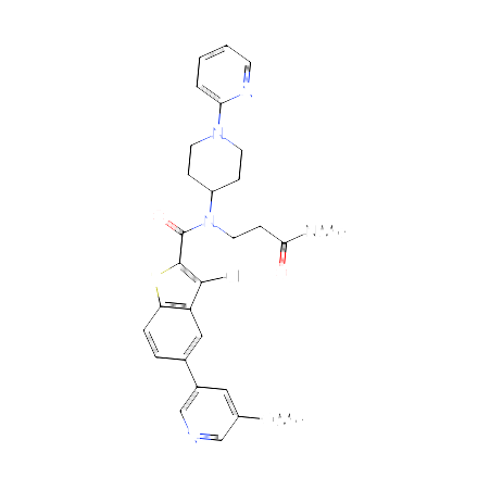 CNC(=O)CCN(C(=O)c1sc2ccc(-c3cncc(OC)c3)cc2c1C)C1CCN(c2ccccn2)CC1